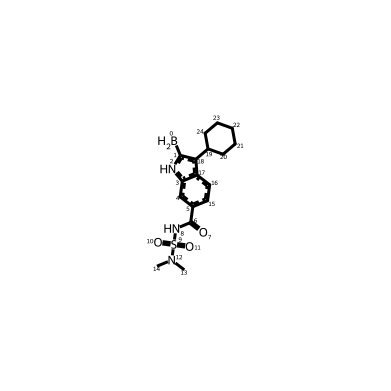 Bc1[nH]c2cc(C(=O)NS(=O)(=O)N(C)C)ccc2c1C1CCCCC1